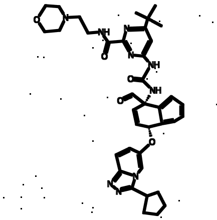 CC(C)(C)c1cc(NC(=O)N[C@@]2(C=O)C=C[C@@H](Oc3ccc4nnc(C5CCCC5)n4c3)c3ccccc32)nc(C(=O)NCCN2CCOCC2)n1